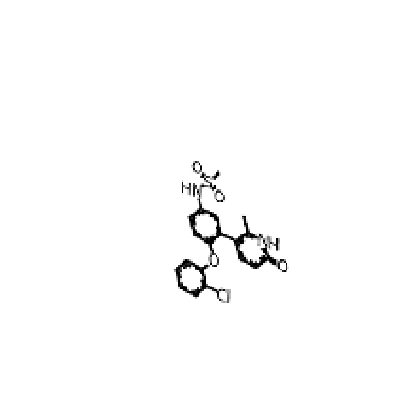 Cc1[nH]c(=O)ccc1-c1cc(NS(C)(=O)=O)ccc1Oc1ccccc1Cl